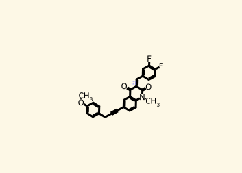 COc1ccc(CC#Cc2ccc3c(c2)C(=O)/C(=C/c2ccc(F)c(F)c2)C(=O)N3C)cc1